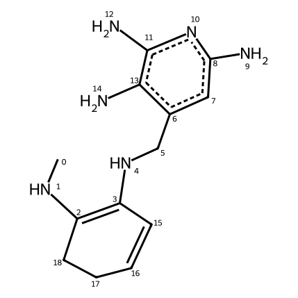 CNC1=C(NCc2cc(N)nc(N)c2N)C=CCC1